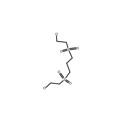 O=S(=O)(CCCl)CCCS(=O)(=O)CCCl